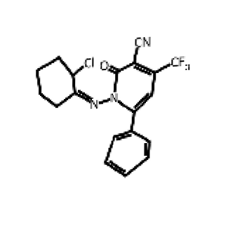 N#Cc1c(C(F)(F)F)cc(-c2ccccc2)n(/N=C2/CCCCC2Cl)c1=O